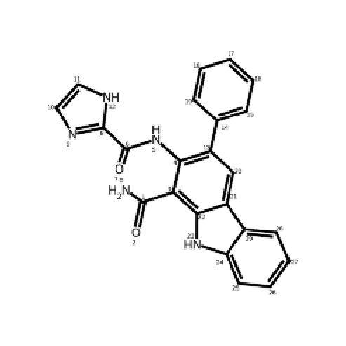 NC(=O)c1c(NC(=O)c2ncc[nH]2)c(-c2ccccc2)cc2c1[nH]c1ccccc12